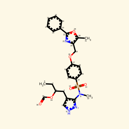 CCC(Cc1c[nH]nc1N(C)S(=O)(=O)c1ccc(OCc2nc(-c3ccccc3)oc2C)cc1)OC=O